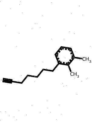 [C]#CCCCCCc1cccc(C)c1C